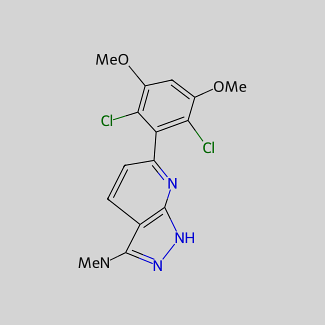 CNc1n[nH]c2nc(-c3c(Cl)c(OC)cc(OC)c3Cl)ccc12